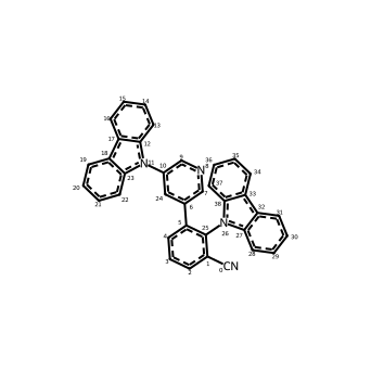 N#Cc1cccc(-c2cncc(-n3c4ccccc4c4ccccc43)c2)c1-n1c2ccccc2c2ccccc21